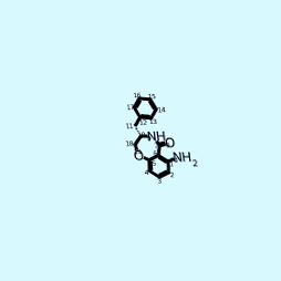 Nc1cccc2c1C(=O)N[C@@H](Cc1ccccc1)CO2